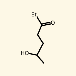 CCC(=O)CCC(C)O